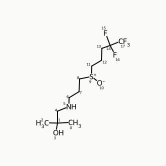 CC(C)(O)CNCCC[S+]([O-])CCCC(F)(F)C(F)(F)F